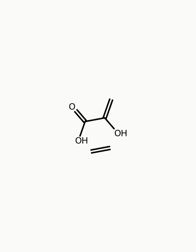 C=C.C=C(O)C(=O)O